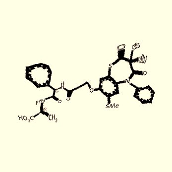 CCCCC1(CCCC)C(=O)Sc2cc(OCC(=O)N[C@@H](C(=O)N[C@@H](C)C(=O)O)c3ccccc3)c(SC)cc2N(c2ccccc2)C1=O